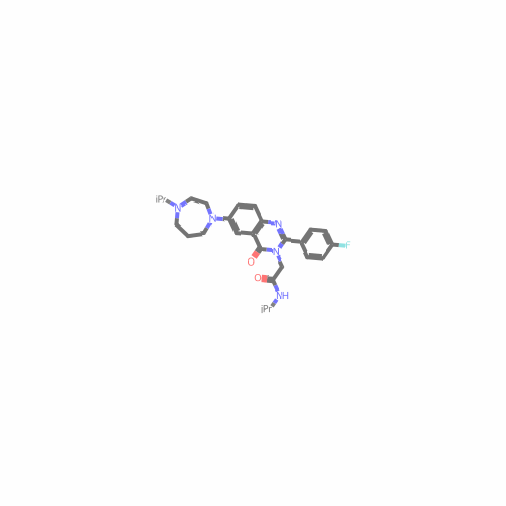 CC(C)NC(=O)Cn1c(-c2ccc(F)cc2)nc2ccc(N3CCCN(C(C)C)CC3)cc2c1=O